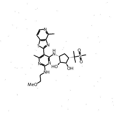 COCCNc1nc(C)c(-c2nc3c(C)nccc3s2)c(N[C@@H]2C[C@H](C(C)(C)S(C)(=O)=O)[C@@H](O)[C@H]2O)n1